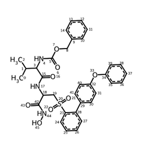 CC(C)C(NC(=O)OCc1ccccc1)C(=O)NC(CS(=O)(=O)c1ccccc1-c1ccc(Oc2ccccc2)cc1)C(=O)NO